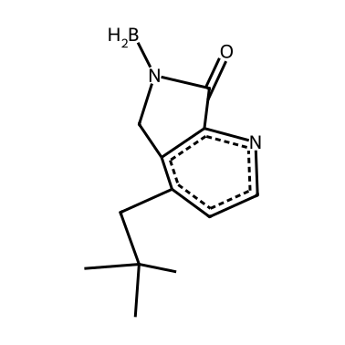 BN1Cc2c(CC(C)(C)C)ccnc2C1=O